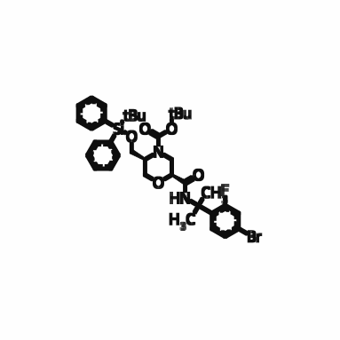 CC(C)(C)OC(=O)N1C[C@@H](C(=O)NC(C)(C)c2ccc(Br)cc2F)OC[C@H]1CO[Si](c1ccccc1)(c1ccccc1)C(C)(C)C